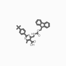 Cc1nc(-c2ccc(C(C)(C)C)cc2)nc(CNC(=O)OCC2c3ccccc3-c3ccccc32)c1C(=O)O